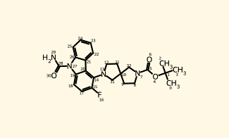 CC(C)(C)OC(=O)N1CCC2(CCN(c3c(F)ccc4c3c3ccccc3n4C(N)=O)C2)C1